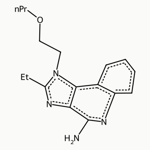 CCCOCCn1c(CC)nc2c(N)nc3ccccc3c21